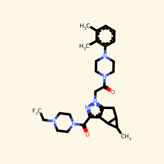 Cc1cccc(N2CCN(C(=O)Cn3nc(C(=O)N4CCN(CC(F)(F)F)CC4)c4c3CC3C(C)C43)CC2)c1C